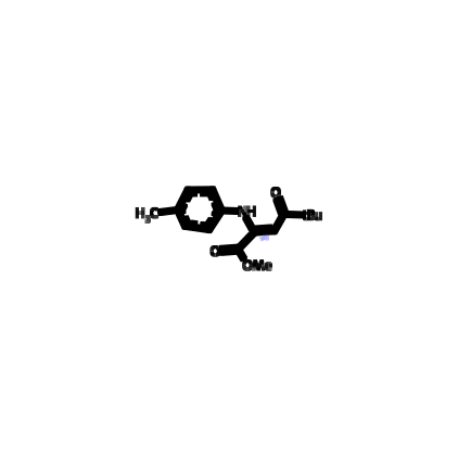 COC(=O)/C(=C/C(=O)C(C)(C)C)Nc1ccc(C)cc1